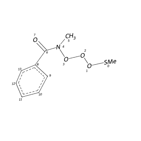 CSOOON(C)C(=O)c1ccccc1